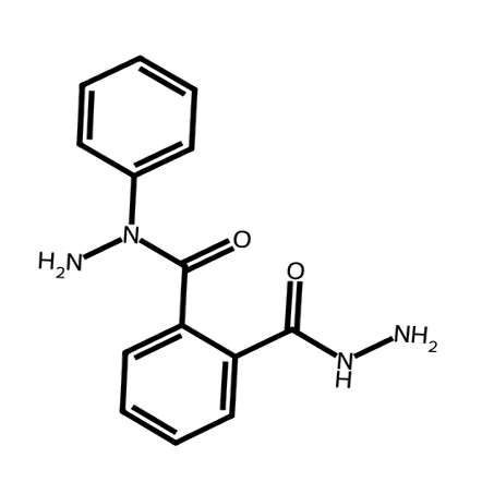 NNC(=O)c1ccccc1C(=O)N(N)c1ccccc1